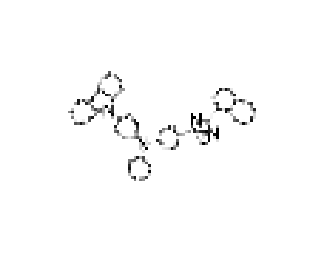 c1ccc(N(c2ccc(-c3nc(-c4cccc5ccccc45)no3)cc2)c2ccc(-n3c4ccccc4c4ccccc43)cc2)cc1